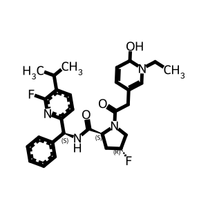 CCN1C=C(CC(=O)N2C[C@H](F)C[C@H]2C(=O)N[C@@H](c2ccccc2)c2ccc(C(C)C)c(F)n2)C=CC1O